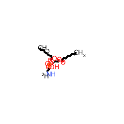 [2H]NCCOP(=O)(O)OC[C@@H](COC(=O)CCCCCCC)OC(=O)CCCCCCC